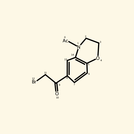 CC(=O)N1CCOc2ccc(C(=O)CBr)cc21